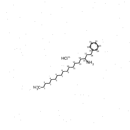 CCCCCCCCCCCCCCCC(N)CCc1ccccc1.Cl